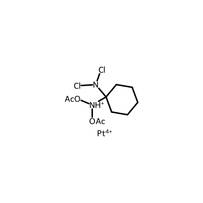 CC(=O)O[NH+](OC(C)=O)C1(N(Cl)Cl)CCCCC1.[Pt+4]